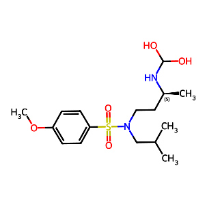 COc1ccc(S(=O)(=O)N(CC[C@H](C)NC(O)O)CC(C)C)cc1